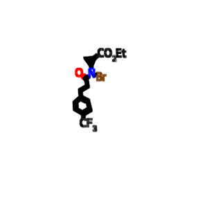 CCOC(=O)C1CC1N(Br)C(=O)CCc1ccc(C(F)(F)F)cc1